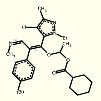 CCn1nc(C)c(Cl)c1/C(OC(C)OC(=O)C1CCCCC1)=C(\C=N/C)c1ccc(C(C)(C)C)cc1